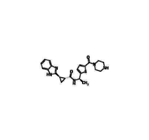 C[C@@H](NC(=O)[C@@H]1C[C@H]1c1nc2ccccc2[nH]1)c1ccc(C(=O)N2CCNCC2)s1